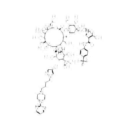 CC[C@H]1OC(=O)[C@H](C)[C@@H](O[C@H]2C[C@@](C)(OC)[C@@H](O)[C@H](C)O2)C(C)[C@@H](O[C@@H]2O[C@H](C)C[C@H](N(C)C)[C@H]2O)[C@](C)(OC)C[C@@H](C)C(=O)[C@H](C)[C@@H](O)[C@]1(C)O.Cc1oncc1C(=O)Nc1ccc(C(F)(F)F)cc1.Clc1cnn(CCCCN2CCN(c3ncccn3)CC2)c1